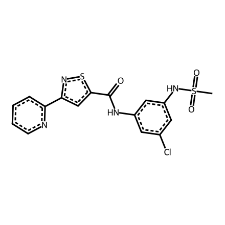 CS(=O)(=O)Nc1cc(Cl)cc(NC(=O)c2cc(-c3ccccn3)ns2)c1